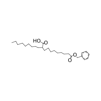 CCCCCCCCCC(CCCCCCCCC(=O)OCc1ccccc1)C(=O)O